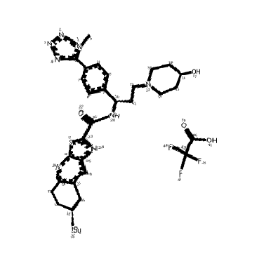 Cn1nnnc1-c1ccc([C@@H](CCN2CCC(O)CC2)NC(=O)c2nc3cc4c(nc3s2)CC[C@H](C(C)(C)C)C4)cc1.O=C(O)C(F)(F)F